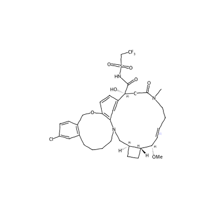 CO[C@H]1/C=C/CCN(C)C(=O)C[C@](O)(C(=O)NS(=O)(=O)CC(F)(F)F)c2ccc3c(c2)N(CCCCc2cc(Cl)ccc2CO3)C[C@@H]2CC[C@H]21